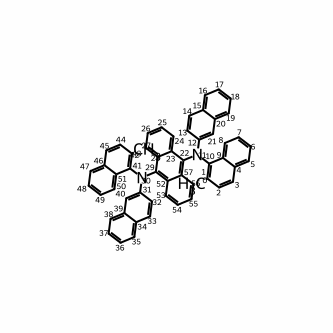 Cc1ccc2ccccc2c1N(c1ccc2ccccc2c1)c1c2ccccc2c(N(c2ccc3ccccc3c2)c2c(C)ccc3ccccc23)c2ccccc12